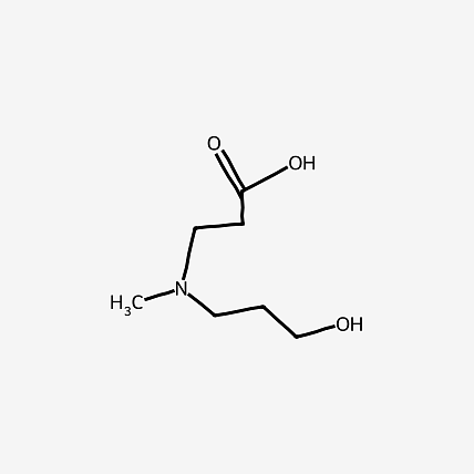 CN(CCCO)CCC(=O)O